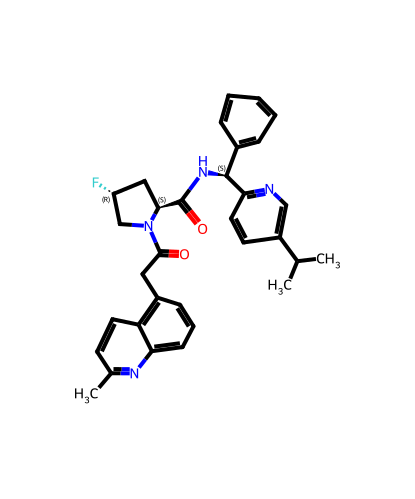 Cc1ccc2c(CC(=O)N3C[C@H](F)C[C@H]3C(=O)N[C@@H](c3ccccc3)c3ccc(C(C)C)cn3)cccc2n1